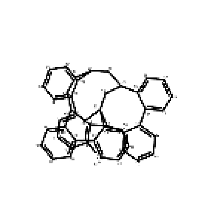 Oc1cccc2c1C1c3ccccc3-c3ccccc3C3CC(CCC4CC1(C3)c1ccccc1-c1ccccc14)c1ccccc1-2